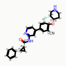 N#Cc1cc(-c2ccnc(NC(=O)[C@@H]3C[C@@H]3c3ccccc3)c2)ccc1O[C@H]1CCNC[C@H]1F